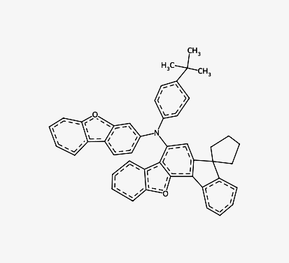 CC(C)(C)c1ccc(N(c2ccc3c(c2)oc2ccccc23)c2cc3c(c4oc5ccccc5c24)-c2ccccc2C32CCCC2)cc1